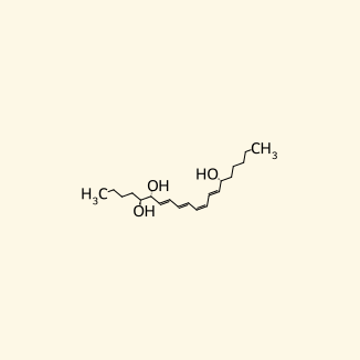 CCCCC[C@@H](O)/C=C/C=C\C=C\C=C\[C@@H](O)[C@@H](O)CCCC